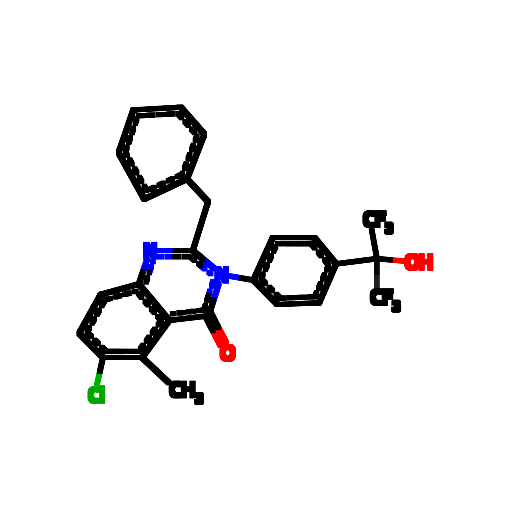 Cc1c(Cl)ccc2nc(Cc3ccccc3)n(-c3ccc(C(O)(C(F)(F)F)C(F)(F)F)cc3)c(=O)c12